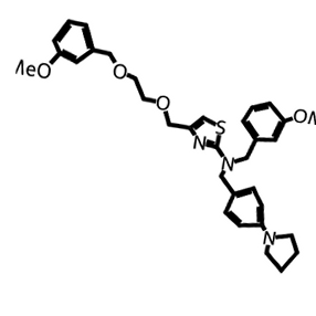 COc1cccc(COCCOCc2csc(N(Cc3ccc(N4CCCC4)cc3)Cc3cccc(OC)c3)n2)c1